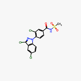 CS(=O)(=O)NC(=O)c1ccc(-n2nc(Cl)c3cc(Cl)ccc32)c(Cl)c1